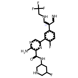 N=C/C(=C\NCC(F)(F)F)c1ccc(F)c(-c2cnc(N)c(C(=O)NC3CNCC(F)C3)n2)c1